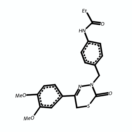 CCC(=O)Nc1ccc(CN2N=C(c3ccc(OC)c(OC)c3)CSC2=O)cc1